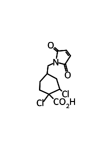 O=C1C=CC(=O)N1CC1CCC(Cl)(C(=O)O)C(Cl)C1